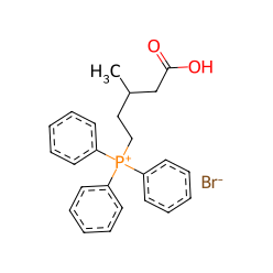 CC(CC[P+](c1ccccc1)(c1ccccc1)c1ccccc1)CC(=O)O.[Br-]